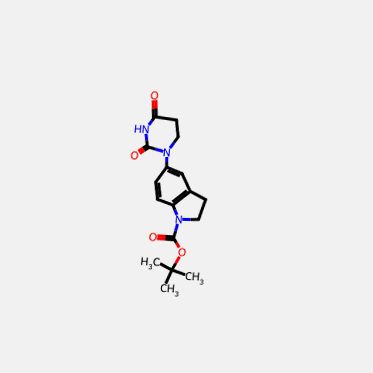 CC(C)(C)OC(=O)N1CCc2cc(N3CCC(=O)NC3=O)ccc21